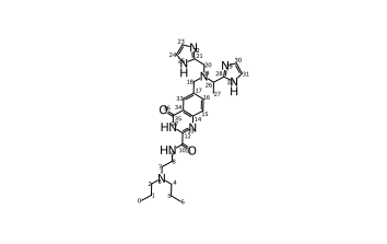 CCCN(CCC)CCNC(=O)c1nc2ccc(CN(Cc3ncc[nH]3)C(C)c3ncc[nH]3)cc2c(=O)[nH]1